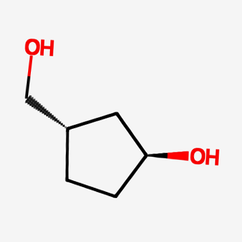 OC[C@H]1CC[C@H](O)C1